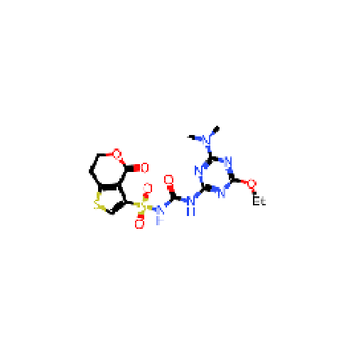 CCOc1nc(NC(=O)NS(=O)(=O)c2csc3c2C(=O)OCC3)nc(N(C)C)n1